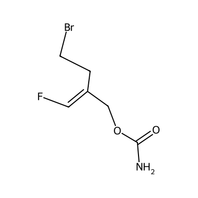 NC(=O)OCC(=CF)CCBr